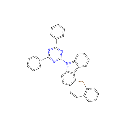 C1=Cc2ccc3c(c2Sc2ccccc21)c1ccccc1n3-c1nc(-c2ccccc2)nc(-c2ccccc2)n1